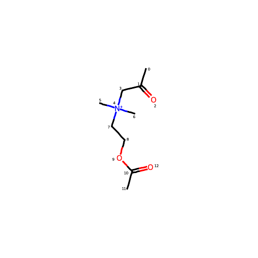 CC(=O)C[N+](C)(C)CCOC(C)=O